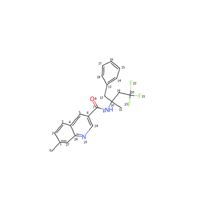 Cc1ccc2cc(C(=O)NC(C)(Cc3ccccc3)CC(F)(F)F)cnc2c1